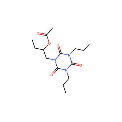 CCCn1c(=O)n(CCC)c(=O)n(CC(CC)OC(C)=O)c1=O